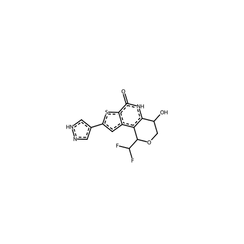 O=c1[nH]c2c(c3cc(-c4cn[nH]c4)sc13)C(C(F)F)OCC2O